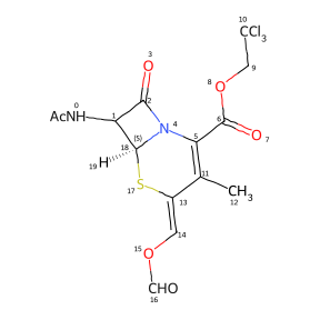 CC(=O)NC1C(=O)N2C(C(=O)OCC(Cl)(Cl)Cl)=C(C)C(=COC=O)S[C@@H]12